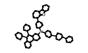 c1ccc(-c2ccc(-c3ccc(N(c4ccc(-c5cccc6c5oc5ccccc56)cc4)c4ccc5c(c4)c(-c4ccccc4)c(-c4ccccc4)c4ccccc45)cc3)cc2)cc1